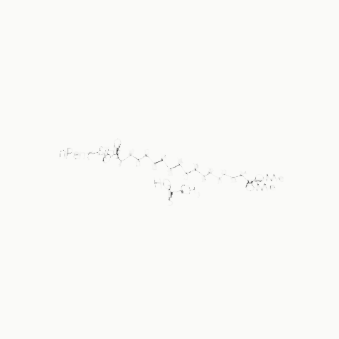 CC(O)=S.CCCCC[SiH2]OC(=O)CCCCCCCCCCCCCCCCC(OC)OC